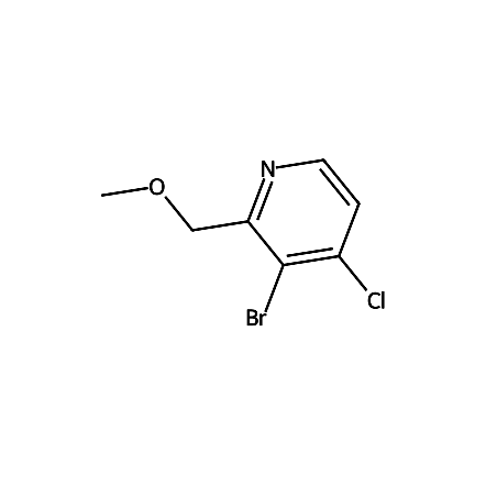 COCc1nccc(Cl)c1Br